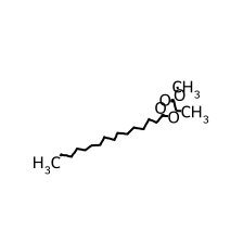 CCCCCCCCCCCCCCCC(=O)OC(C)C(=O)OC